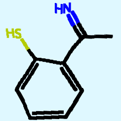 CC(=N)c1ccccc1S